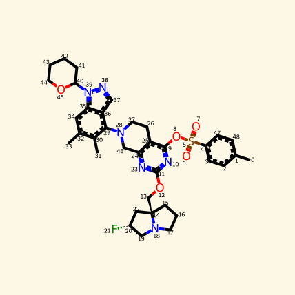 Cc1ccc(S(=O)(=O)Oc2nc(OC[C@@]34CCCN3C[C@H](F)C4)nc3c2CCN(c2c(C)c(C)cc4c2cnn4C2CCCCO2)C3)cc1